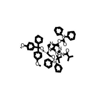 COc1ccc(C(OC[C@@H](CO[Si](c2ccccc2)(c2ccccc2)C(C)(C)C)n2cnc3c(OC(=O)N(c4ccccc4)c4ccccc4)nc(NC(=O)C(C)C)nc32)(c2ccccc2)c2ccc(OC)cc2)cc1